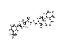 O=C(CCCn1cnc2c(c1=O)CCCc1ccccc1-2)N1CCN(c2cccc(C(F)(F)F)c2)CC1